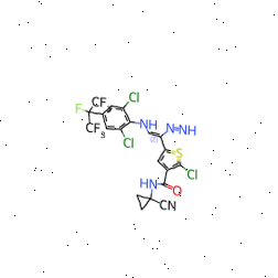 N#CC1(NC(=O)c2cc(/C(=C/Nc3c(Cl)cc(C(F)(C(F)(F)F)C(F)(F)F)cc3Cl)N=N)sc2Cl)CC1